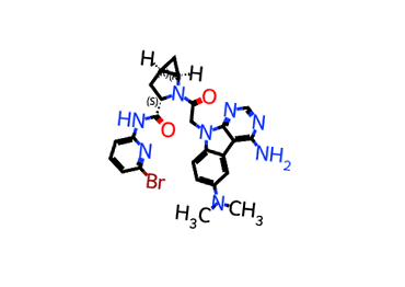 CN(C)c1ccc2c(c1)c1c(N)ncnc1n2CC(=O)N1[C@@H]2C[C@@H]2C[C@H]1C(=O)Nc1cccc(Br)n1